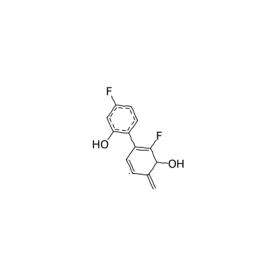 C=C1[C]=CC(c2ccc(F)cc2O)=C(F)C1O